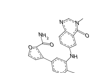 Cc1ccc(-c2ccoc2C(N)=O)cc1Nc1ccc2ncn(C)c(=O)c2c1